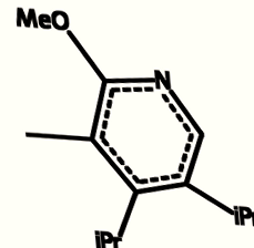 COc1ncc(C(C)C)c(C(C)C)c1C